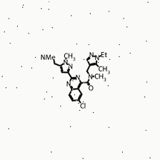 CCn1ncc(CN(C)C(=O)c2nc(-c3cc(CNC)n(C)n3)nc3ccc(Cl)cc23)c1C